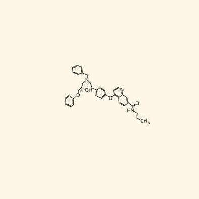 CCCNC(=O)c1ccc2c(Oc3ccc(CCN(Cc4ccccc4)C[C@H](O)COc4ccccc4)cc3)ccnc2c1